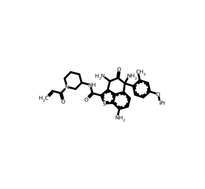 C=CC(=O)N1CCCC(NC(=O)c2sc3c(N)ccc4c3c2C(N)C(=O)C4(N)c2ccc(OC(C)C)cc2C)C1